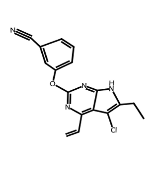 C=Cc1nc(Oc2cccc(C#N)c2)nc2[nH]c(CC)c(Cl)c12